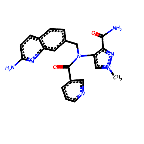 Cn1cc(N(Cc2ccc3ccc(N)nc3c2)C(=O)c2cccnc2)c(C(N)=O)n1